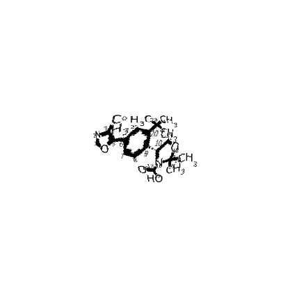 Cc1ncoc1-c1ccc([C@@H]2COC(C)(C)N2C(=O)O)c(C(C)(C)C)c1